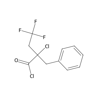 O=C(Cl)C(Cl)(Cc1ccccc1)CC(F)(F)F